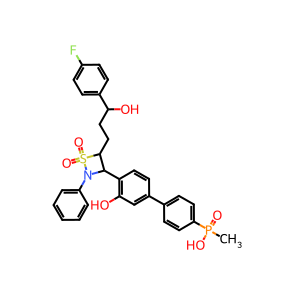 CP(=O)(O)c1ccc(-c2ccc(C3C(CCC(O)c4ccc(F)cc4)S(=O)(=O)N3c3ccccc3)c(O)c2)cc1